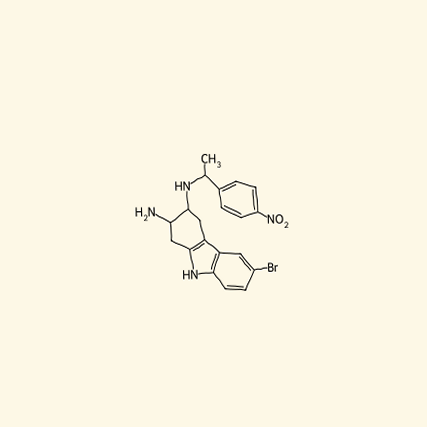 CC(NC1Cc2c([nH]c3ccc(Br)cc23)CC1N)c1ccc([N+](=O)[O-])cc1